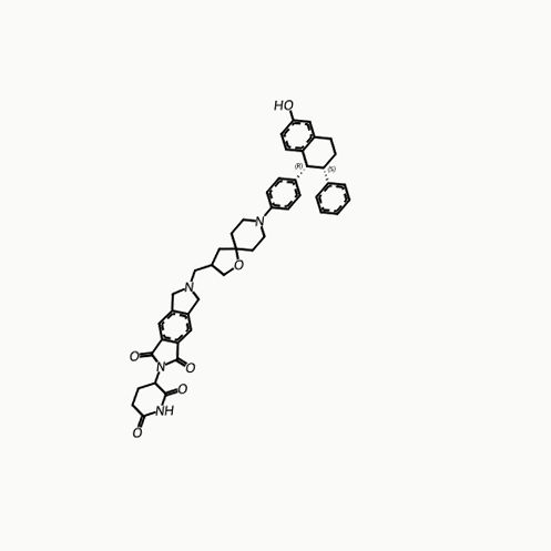 O=C1CCC(N2C(=O)c3cc4c(cc3C2=O)CN(CC2COC3(CCN(c5ccc([C@@H]6c7ccc(O)cc7CC[C@@H]6c6ccccc6)cc5)CC3)C2)C4)C(=O)N1